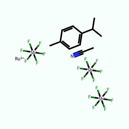 CC#N.Cc1ccc(C(C)C)cc1.[F][Sb-]([F])([F])([F])([F])[F].[F][Sb-]([F])([F])([F])([F])[F].[F][Sb-]([F])([F])([F])([F])[F].[Ru+3]